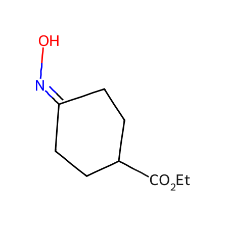 CCOC(=O)C1CCC(=NO)CC1